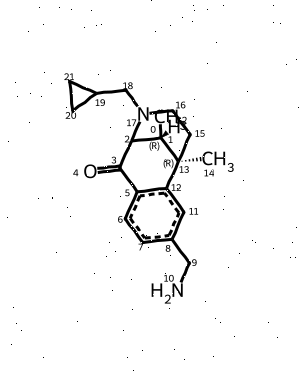 C[C@H]1C2C(=O)c3ccc(CN)cc3[C@]1(C)CCN2CC1CC1